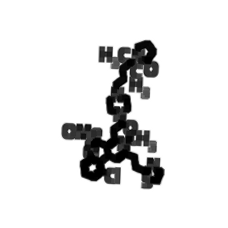 COC(=O)C1=C(CC(=O)N2CCN(CCCC(C)(C)N3CCCC3=O)CC2)N(C)C(CCc2nccs2)=CC1c1c(Cl)cccc1Cl